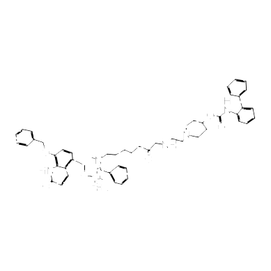 CC(C)(C)[Si](C)(C)O[C@@H](CN(CCCCCC(=O)CNCCN1CCC(OC(=O)Nc2ccccc2-c2ccccc2)CC1)Cc1ccccc1)c1ccc(OCc2ccccc2)c2[nH]c(=O)ccc12